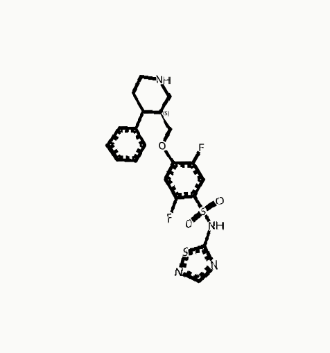 O=S(=O)(Nc1ncns1)c1cc(F)c(OC[C@@H]2CNCCC2c2ccccc2)cc1F